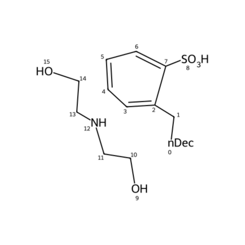 CCCCCCCCCCCc1ccccc1S(=O)(=O)O.OCCNCCO